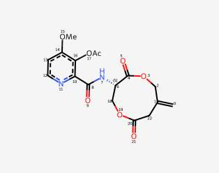 C=C1COC(=O)[C@@H](NC(=O)c2nccc(OC)c2OC(C)=O)COC(=O)C1